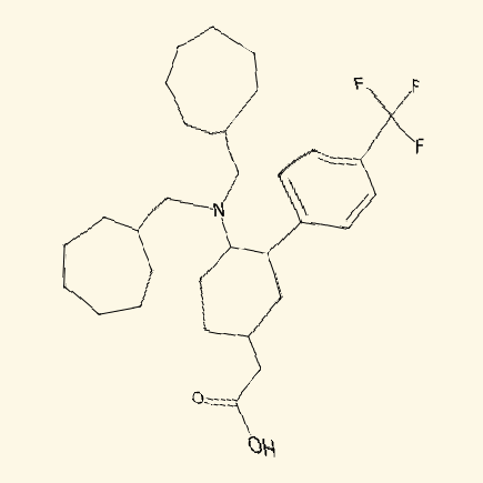 O=C(O)CC1CCC(N(CC2CCCCCC2)CC2CCCCCC2)C(c2ccc(C(F)(F)F)cc2)C1